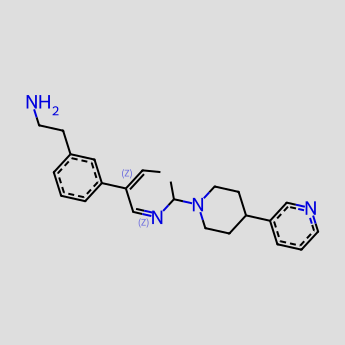 C/C=C(\C=N/C(C)N1CCC(c2cccnc2)CC1)c1cccc(CCN)c1